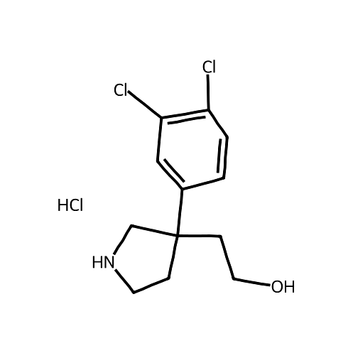 Cl.OCCC1(c2ccc(Cl)c(Cl)c2)CCNC1